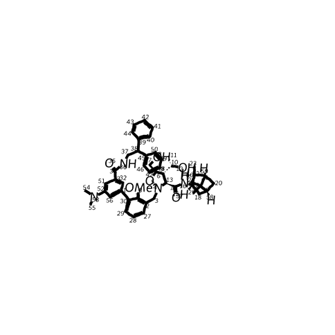 COc1c(CN2O[C@@H](CO)[C@H]([C@H](C)O)[C@H]2C(=O)N[C@H]2C[C@H]3C[C@@H]([C@@H]2C)C3(C)C)cccc1-c1cc(C(=O)NCC(c2ccccc2)c2ccccc2)cc(N(C)C)c1